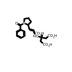 CC=CC1CCCN1C(=O)c1ccccc1.O=C(O)CC(O)(CC(=O)O)C(=O)O